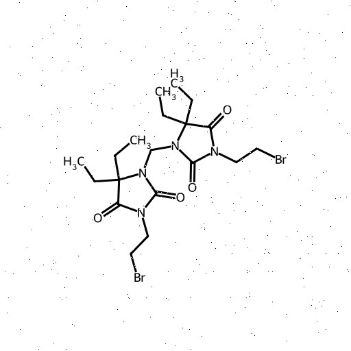 CCC1(CC)C(=O)N(CCBr)C(=O)N1CN1C(=O)N(CCBr)C(=O)C1(CC)CC